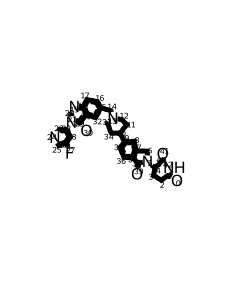 O=C1CCC(N2Cc3cc(C4CCN(Cc5ccc6ncn(-c7cncc(F)c7)c(=O)c6c5)CC4)ccc3C2=O)C(=O)N1